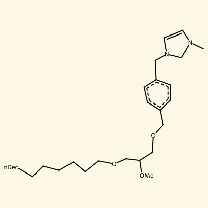 CCCCCCCCCCCCCCCCOCC(COCc1ccc(CN2C=CN(C)C2)cc1)OC